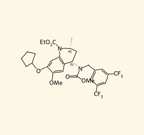 CCOC(=O)N1c2cc(OC3CCCC3)c(OC)cc2[C@@H](N(Cc2cc(C(F)(F)F)cc(C(F)(F)F)c2)C(=O)OC)C[C@H]1C